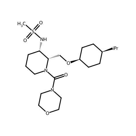 CC(C)[C@H]1CC[C@@H](OC[C@H]2[C@@H](NS(C)(=O)=O)CCCN2C(=O)N2CCOCC2)CC1